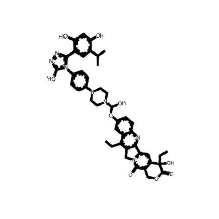 CCc1c2c(nc3ccc(OC(O)N4CCN(c5ccc(-n6c(O)nnc6-c6cc(C(C)C)c(O)cc6O)cc5)CC4)cc13)-c1cc3c(c(=O)n1C2)COC(=O)C3(O)CC